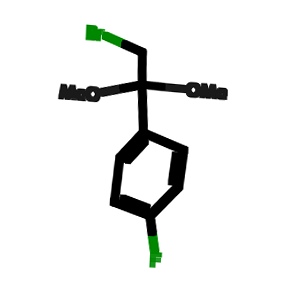 COC(CBr)(OC)c1ccc(F)cc1